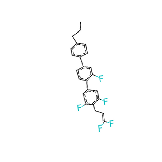 CCCc1ccc(-c2ccc(-c3cc(F)c(CC=C(F)F)c(F)c3)c(F)c2)cc1